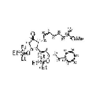 CC[Si](CC)(CC)O[C@H](/C=C/[C@H]1[C@H](O[Si](CC)(CC)CC)CC(=O)[C@@H]1C/C=C\CCCC(=O)OC)CCc1ccccc1